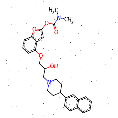 CN(C)C(=O)Oc1cc2c(OCC(O)CN3CCC(c4ccc5ccccc5c4)CC3)cccc2o1